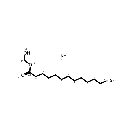 CCCCCCCCCCCCCCCCCCCCCC(=O)OCO.[KH]